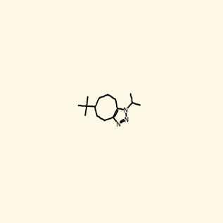 CC(C)n1nnc2c1CCCC(C(C)(C)C)CC2